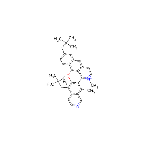 Cc1c2c(c(CC(C)(C)C)c3ccncc13)Oc1c3ccc(CC(C)(C)C)cc3cc3cc[n+](C)c-2c13